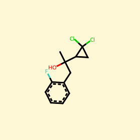 CC(O)(Cc1ccccc1F)C1CC1(Cl)Cl